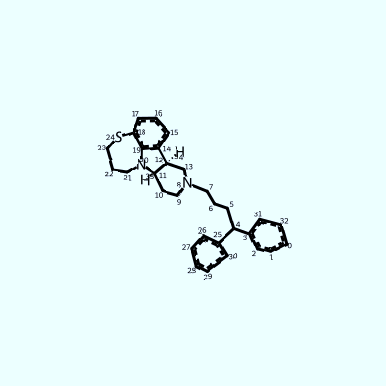 c1ccc(C(CCCN2CC[C@@H]3[C@H](C2)c2cccc4c2N3CCCS4)c2ccccc2)cc1